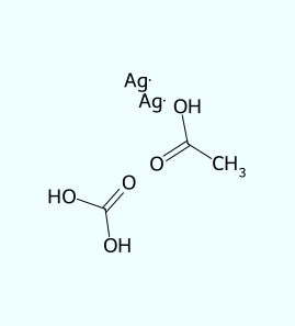 CC(=O)O.O=C(O)O.[Ag].[Ag]